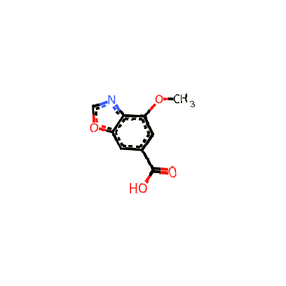 COc1cc(C(=O)O)cc2ocnc12